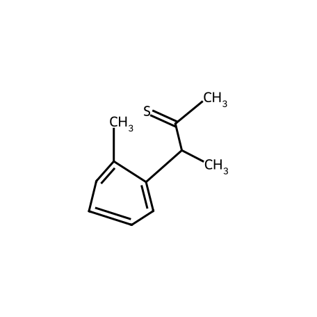 CC(=S)C(C)c1ccccc1C